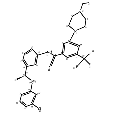 CCN1CCN(c2cc(C(=O)Nc3cccc([C@H](C)Nc4cncc(Cl)n4)c3)cc(C(F)(F)F)c2)CC1